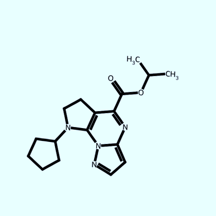 CC(C)OC(=O)c1nc2ccnn2c2c1CCN2C1CCCC1